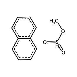 CO[SH](=O)=O.c1ccc2ccccc2c1